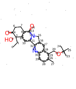 CC[C@@]1(O)C(=O)CCc2c1cc1n(c2=O)Cc2cc3c(COC(C)(C)C)c(C)ccc3nc2-1